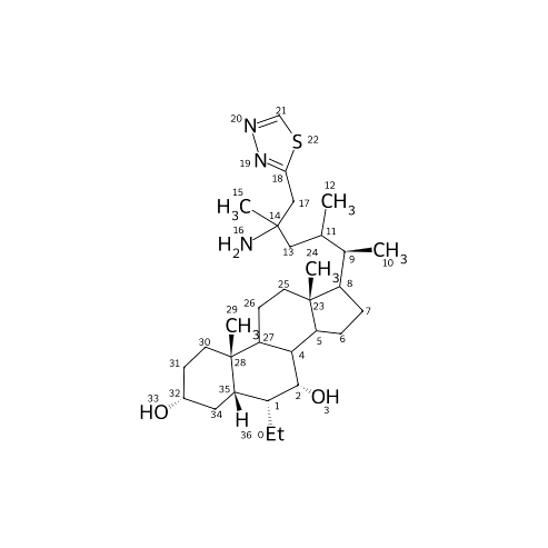 CC[C@H]1[C@@H](O)C2C3CCC([C@H](C)C(C)CC(C)(N)Cc4nncs4)[C@@]3(C)CCC2[C@@]2(C)CC[C@@H](O)C[C@@H]12